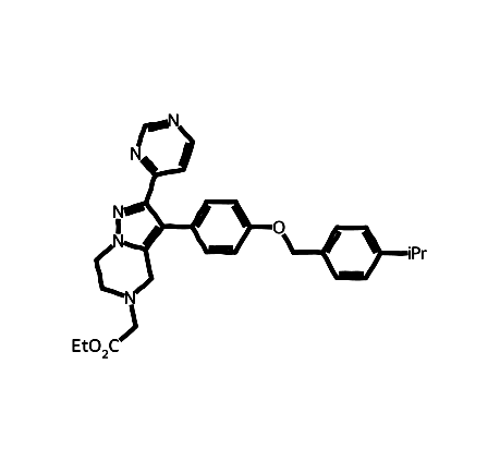 CCOC(=O)CN1CCn2nc(-c3ccncn3)c(-c3ccc(OCc4ccc(C(C)C)cc4)cc3)c2C1